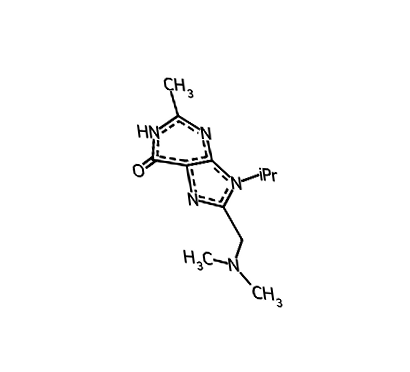 Cc1nc2c(nc(CN(C)C)n2C(C)C)c(=O)[nH]1